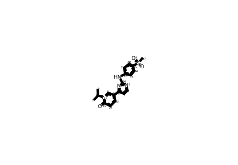 CC(C)n1cc(-c2ccnc(Nc3ccc(S(C)(=O)=O)cc3)n2)ccc1=O